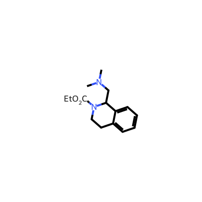 CCOC(=O)N1CCc2ccccc2C1CN(C)C